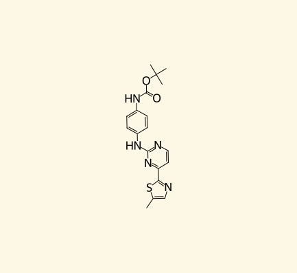 Cc1cnc(-c2ccnc(Nc3ccc(NC(=O)OC(C)(C)C)cc3)n2)s1